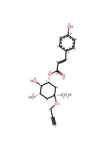 C#CCO[C@@]1(C(=O)O)C[C@H](O)[C@@H](O)[C@H](OC(=O)C=Cc2ccc(O)cc2)C1